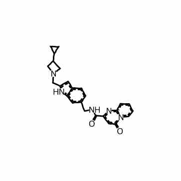 O=C(NCc1ccc2cc(CN3CC(C4CC4)C3)[nH]c2c1)c1cc(=O)n2ccccc2n1